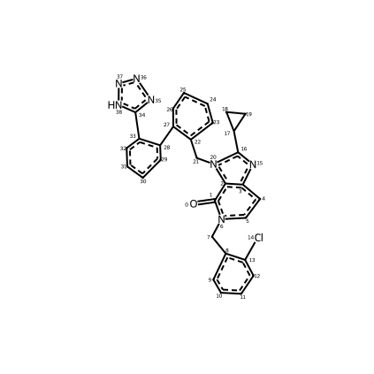 O=c1c2c(ccn1Cc1ccccc1Cl)nc(C1CC1)n2Cc1ccccc1-c1ccccc1-c1nnn[nH]1